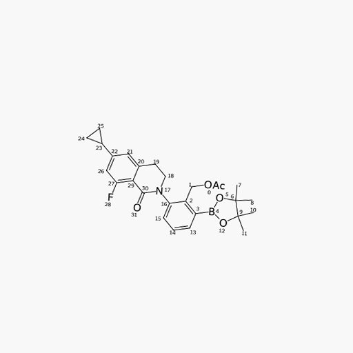 CC(=O)OCc1c(B2OC(C)(C)C(C)(C)O2)cccc1N1CCc2cc(C3CC3)cc(F)c2C1=O